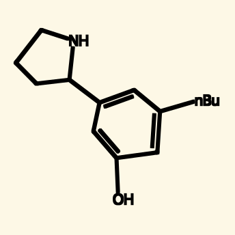 CCCCc1cc(O)cc(C2CCCN2)c1